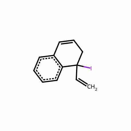 C=CC1(I)CC=Cc2ccccc21